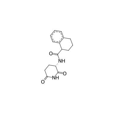 O=C1CC[C@H](NC(=O)C2CCCc3ccccc32)C(=O)N1